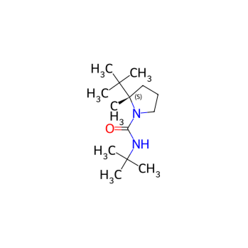 CC(C)(C)NC(=O)N1CCC[C@@]1(C)C(C)(C)C